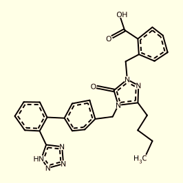 CCCCc1nn(Cc2ccccc2C(=O)O)c(=O)n1Cc1ccc(-c2ccccc2-c2nnn[nH]2)cc1